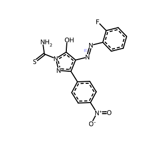 NC(=S)n1nc(-c2ccc([N+](=O)[O-])cc2)c(/N=N/c2ccccc2F)c1O